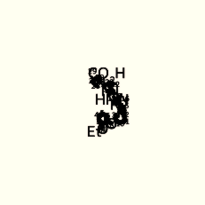 CCOc1ccccc1O[C@@H]1CCCN(c2cncc(Nc3nccc(N4CCC(C(=O)O)C4)n3)n2)C1